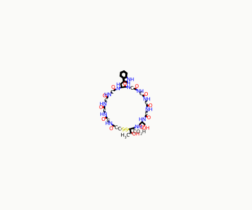 C[C@@H](O)C1SSCCC(=O)NCC(=O)NCC(=O)NCC(=O)NCC(=O)NC(Cc2c[nH]c3ccccc23)C(=O)NCC(=O)NCC(=O)NCC(=O)NCC(=O)NC(CO)C(=O)NC1C(=O)O